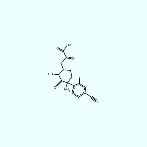 N#Cc1ccc(C2(N)CCC(OC(=O)C(=O)O)C(O)C2=O)c(F)c1